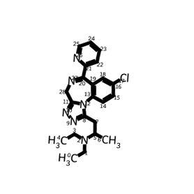 CCN(CC)C(C)Cc1nnc2n1-c1ccc(Cl)cc1C(c1ccccn1)=NC2